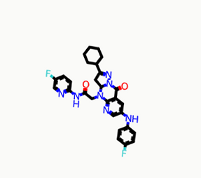 O=C(CN1c2ncc(Nc3ccc(F)cc3)cc2C(=O)N2N=C(C3CCCCC3)CC21)Nc1ccc(F)cn1